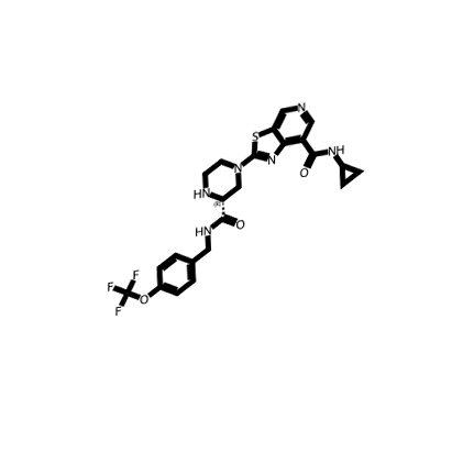 O=C(NC1CC1)c1cncc2sc(N3CCN[C@@H](C(=O)NCc4ccc(OC(F)(F)F)cc4)C3)nc12